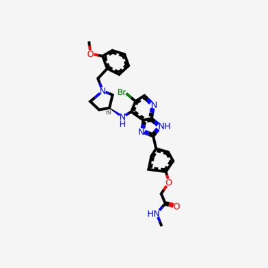 CNC(=O)COc1ccc(-c2nc3c(N[C@H]4CCN(Cc5ccccc5OC)C4)c(Br)cnc3[nH]2)cc1